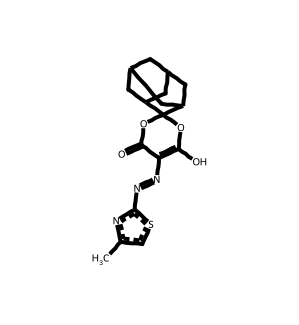 Cc1csc(N=NC2=C(O)OC3(OC2=O)C2CC4CC(C2)CC3C4)n1